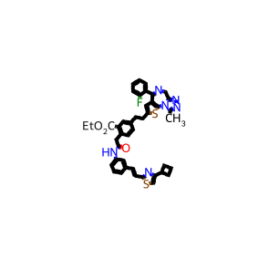 CCOC(=O)c1cc(CCc2cc3c(s2)-n2c(C)nnc2CN=C3c2ccccc2F)ccc1CC(=O)Nc1cccc(C=Cc2nc(C3CCC3)cs2)c1